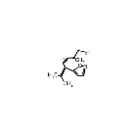 C=C(/C=C\C(=C(C)C)c1ccno1)CBr